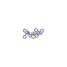 C[Si]1(C)c2cc(-c3nc4ccccc4n3-c3ccccc3)ccc2C=Cc2ccc(-c3nc4ccccc4n3-c3ccccc3)cc21